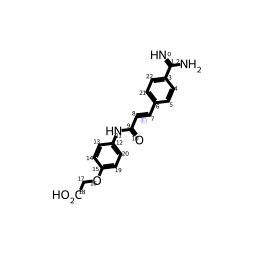 N=C(N)c1ccc(/C=C/C(=O)Nc2ccc(OCC(=O)O)cc2)cc1